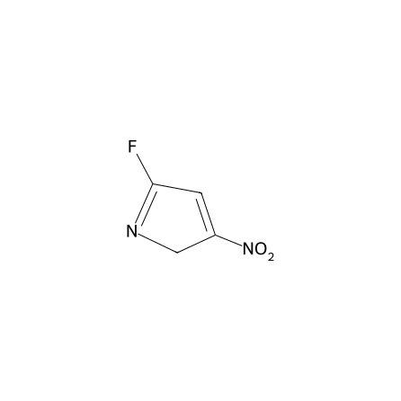 O=[N+]([O-])C1=CC(F)=NC1